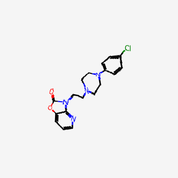 O=c1oc2cccnc2n1CCN1CCN(c2ccc(Cl)cc2)CC1